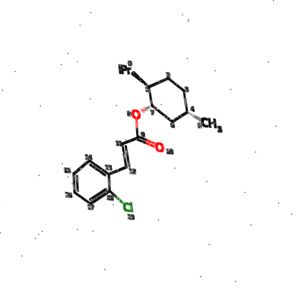 CC(C)[C@H]1CC[C@H](C)C[C@@H]1OC(=O)/C=C/c1ccccc1Cl